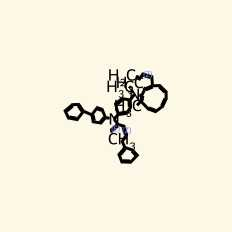 C=C/C=C\c1ccccccc(C)c(N(C)c2ccc(N(C(/C=C\Cc3ccccc3)=C/C)c3ccc(-c4ccccc4)cc3)cc2)c1C